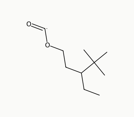 CCC(CCO[C]=O)C(C)(C)C